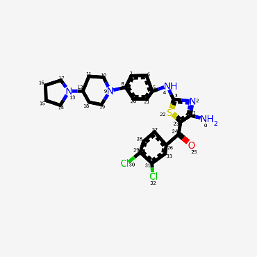 Nc1nc(Nc2ccc(N3CCC(N4CCCC4)CC3)cc2)sc1C(=O)c1ccc(Cl)c(Cl)c1